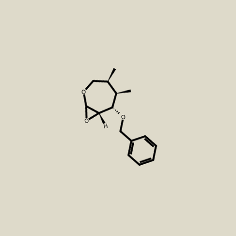 C[C@H]1[C@H](OCc2ccccc2)[C@@H]2OC2OC[C@H]1C